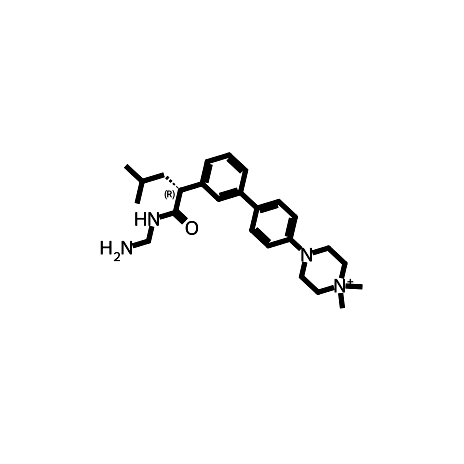 CC(C)C[C@@H](C(=O)NCN)c1cccc(-c2ccc(N3CC[N+](C)(C)CC3)cc2)c1